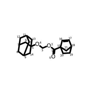 O=C(OCOC12CC3CC(CC(C3)C1)C2)C12C=CC(CC1)C2